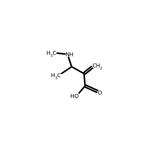 C=C(C(=O)O)C(C)NC